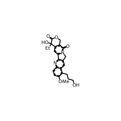 CCC1(O)C(=O)OCc2c1cc1n(c2=O)Cc2cc3c(CCCO)c(OC)ccc3nc2-1